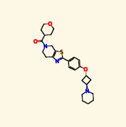 O=C(C1CCOCC1)N1CCc2nc(-c3ccc(O[C@H]4C[C@H](N5CCCCC5)C4)cc3)sc2C1